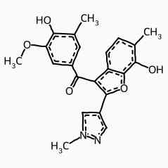 COc1cc(C(=O)c2c(-c3cnn(C)c3)oc3c(O)c(C)ccc23)cc(C)c1O